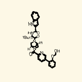 CC(C)(C)[C@H](NC(=O)c1cc2ccccc2[nH]1)C(=O)N1C[C@@H]2C[C@H]1CN2C(=O)c1ccc(-c2ccccc2OCO)cn1